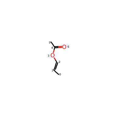 C/C=C/OC(C)=O